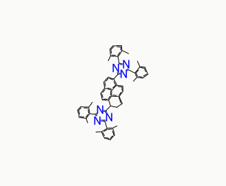 Cc1cccc(C)c1-c1nc(-c2c(C)cccc2C)nc(-c2ccc3ccc4c5c(ccc2c35)=CCC4c2nc(-c3c(C)cccc3C)nc(-c3c(C)cccc3C)n2)n1